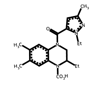 CCC1CN(C(=O)c2cc(C)nn2CC)c2cc(C)c(C)cc2N1C(=O)O